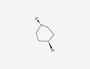 CC[C@H]1CC[S@@+]([O-])CC1